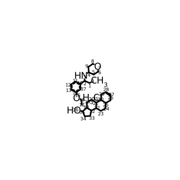 CCC(NC1CCOCC1)c1cccc(OCC[C@]23CCC4C(CCC5CC=CC[C@@]54C)C2CCC3O)c1